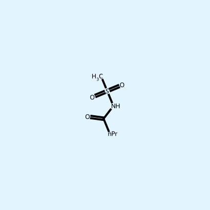 CCCC(=O)NS(C)(=O)=O